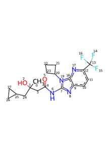 CC(O)(CC(=O)Nc1nc2ccc(C(F)(F)F)nc2n1C1CCC1)CC1CC1